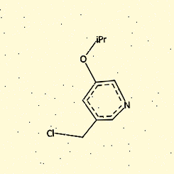 CC(C)Oc1cncc(CCl)c1